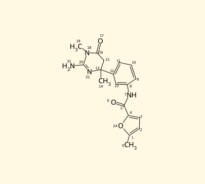 Cc1ccc(C(=O)Nc2cccc(C3(C)CC(=O)N(C)C(N)=N3)c2)o1